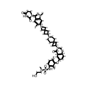 CN(CCO)S(=O)(=O)Nc1ccc(F)c(Oc2ccc3ncn(C4CC5(CCN(C6CC7(C6)CN(c6cc8c(cc6F)c(N6CCC(=O)NC6=O)nn8C)C7)CC5)C4)c(=O)c3c2)c1F